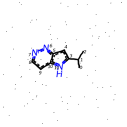 CC(C)c1cc2nnccc2[nH]1